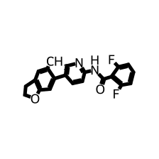 Cc1cc2c(cc1-c1ccc(NC(=O)c3c(F)cccc3F)nc1)OCC2